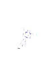 Clc1nc(Cl)nc(NCC2CC=CO2)n1